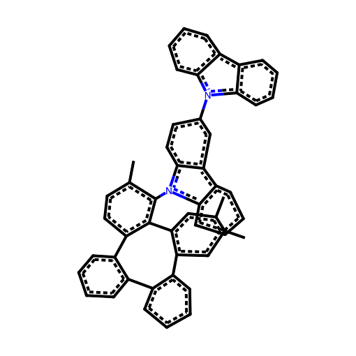 Cc1cc2c(cc1C)-c1c(ccc(C)c1-n1c3ccccc3c3cc(-n4c5ccccc5c5ccccc54)ccc31)-c1ccccc1-c1ccccc1-2